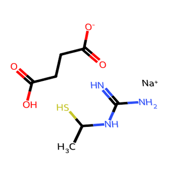 CC(S)NC(=N)N.O=C([O-])CCC(=O)O.[Na+]